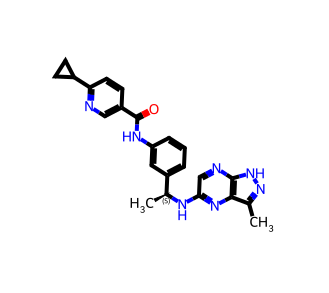 Cc1n[nH]c2ncc(N[C@@H](C)c3cccc(NC(=O)c4ccc(C5CC5)nc4)c3)nc12